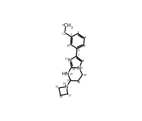 CSc1cccc(-c2cn3c(n2)NC(N2CCC2)CC3)c1